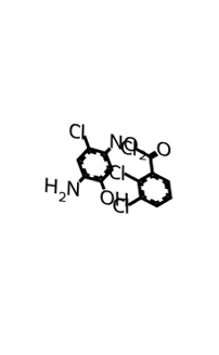 Nc1cc(Cl)c([N+](=O)[O-])cc1O.O=C(Cl)c1cccc(Cl)c1Cl